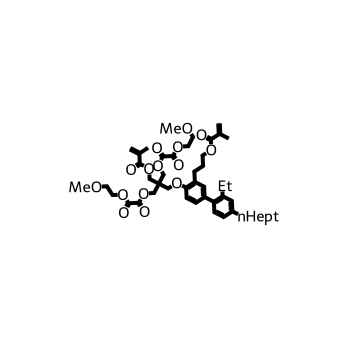 C=C(C)C(=O)OCCCc1cc(-c2ccc(CCCCCCC)cc2CC)ccc1OCC(COC(=O)C(=C)C)(COC(=O)C(=O)OCCOC)COC(=O)C(=O)OCCOC